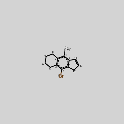 CCCc1c2c(c(Br)c3c1CCCC3)CC=C2